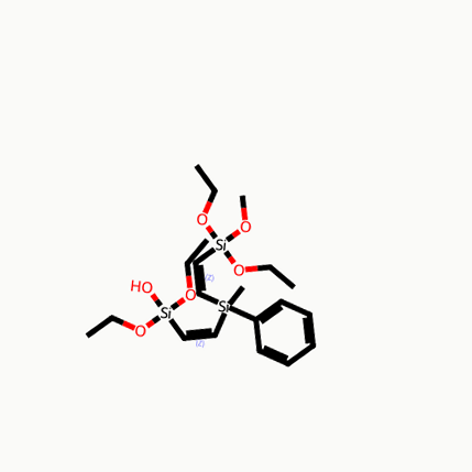 CCO[Si](O)(/C=C\[Si](C)(/C=C\[Si](OC)(OCC)OCC)c1ccccc1)OCC